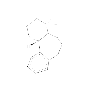 CCN1CCO[C@H]2c3ccccc3CCC[C@@H]21